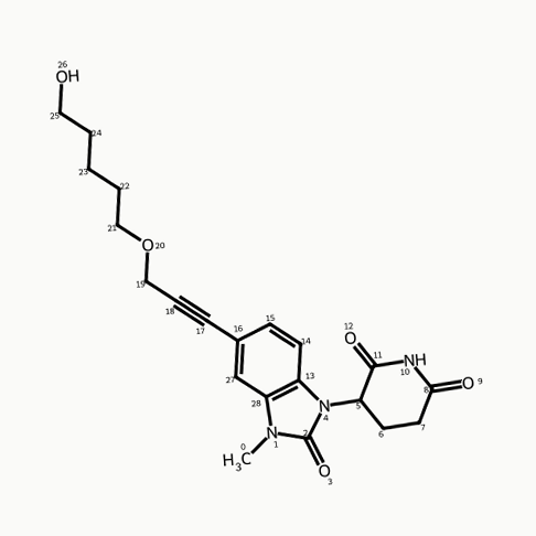 Cn1c(=O)n(C2CCC(=O)NC2=O)c2ccc(C#CCOCCCCCO)cc21